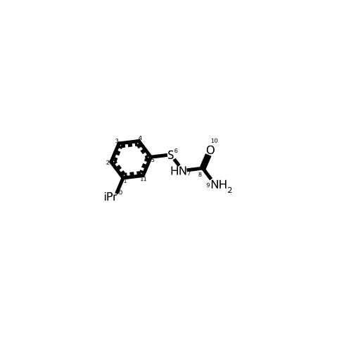 CC(C)c1cccc(SNC(N)=O)c1